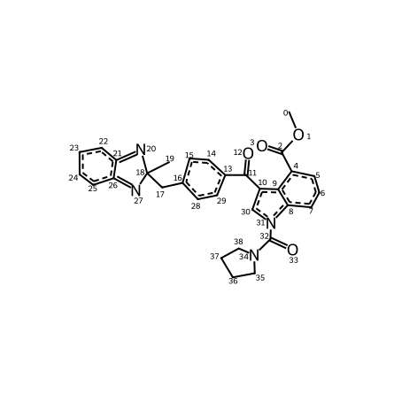 COC(=O)c1cccc2c1c(C(=O)c1ccc(CC3(C)N=c4ccccc4=N3)cc1)cn2C(=O)N1CCCC1